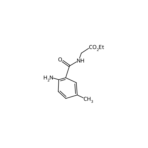 CCOC(=O)CNC(=O)c1cc(C)ccc1N